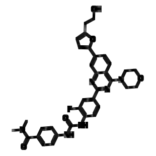 CN(C)C(=O)c1ccc(NC(=O)Nc2ccc(-c3nc(N4CCOCC4)c4ccc(-c5ccc(CCO)o5)cc4n3)cc2F)cc1